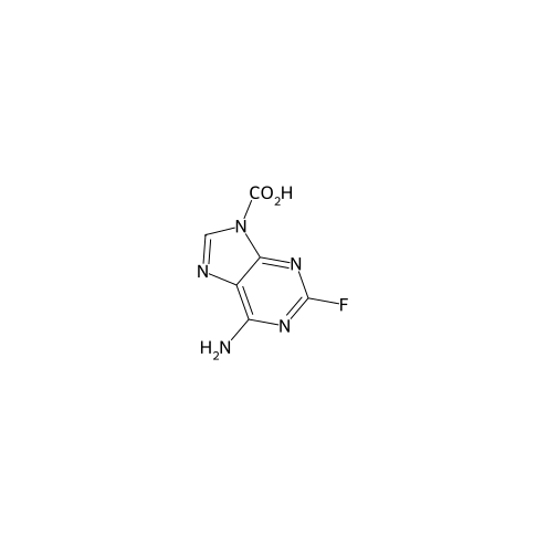 Nc1nc(F)nc2c1ncn2C(=O)O